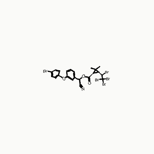 CC1(C)[C@H](C(=O)OC(C#N)c2cccc(Oc3ccc(Br)cc3)c2)[C@@H]1C(Br)C(Br)(Br)Br